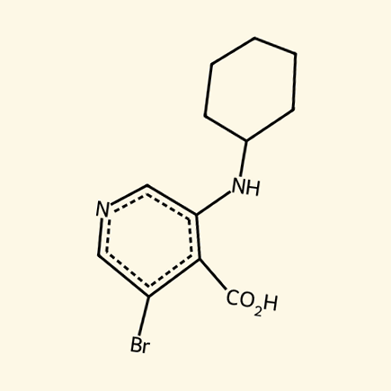 O=C(O)c1c(Br)cncc1NC1CCCCC1